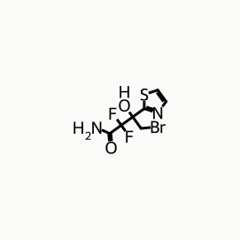 NC(=O)C(F)(F)C(O)(CBr)c1nccs1